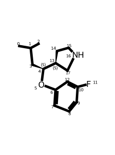 CC(C)C[C@H](Oc1cccc(F)c1)[C@H]1CCNC1